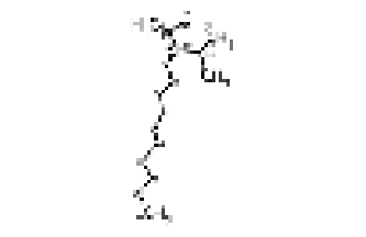 CCCCCCCCCC[Si](C(C)C)C(C)C